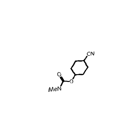 CNC(=O)OC1CCC(C#N)CC1